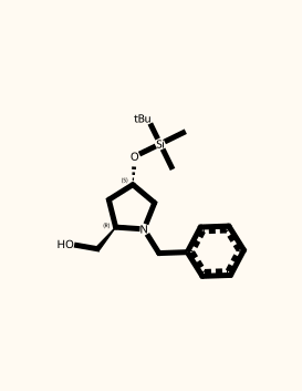 CC(C)(C)[Si](C)(C)O[C@H]1C[C@H](CO)N(Cc2ccccc2)C1